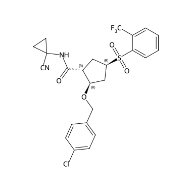 N#CC1(NC(=O)[C@@H]2C[C@@H](S(=O)(=O)c3ccccc3C(F)(F)F)C[C@H]2OCc2ccc(Cl)cc2)CC1